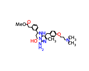 COC(=O)Cc1cccc(C(CCO)Nc2nc(N)nc(C)c2Cc2ccc(OCCCN(C)C)cc2)c1